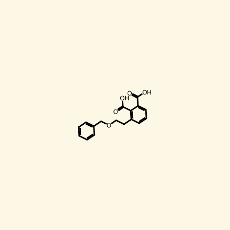 O=C(O)c1cccc(CCOCc2ccccc2)c1C(=O)O